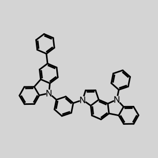 c1ccc(-c2ccc3c(c2)c2ccccc2n3-c2cccc(-n3ccc4c3ccc3c5ccccc5n(-c5ccccc5)c34)c2)cc1